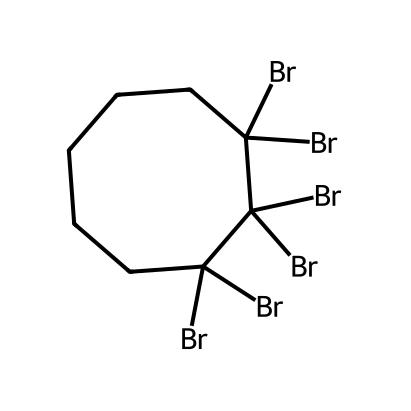 BrC1(Br)CCCCCC(Br)(Br)C1(Br)Br